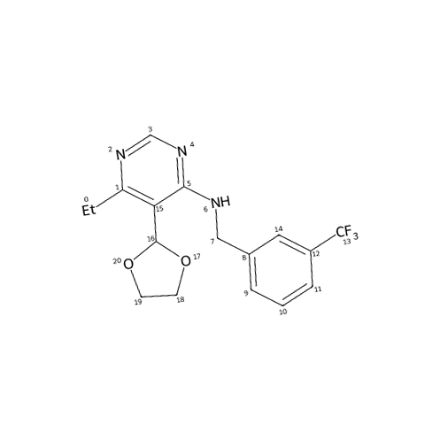 CCc1ncnc(NCc2cccc(C(F)(F)F)c2)c1C1OCCO1